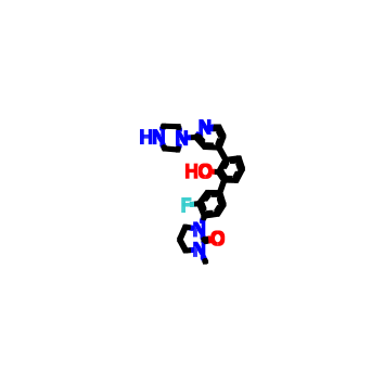 CN1CCCN(c2ccc(-c3cccc(-c4ccnc(N5CCNCC5)c4)c3O)cc2F)C1=O